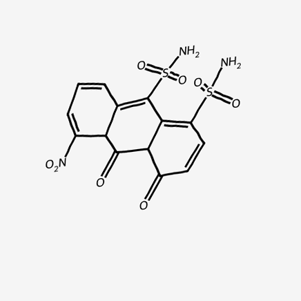 NS(=O)(=O)C1=C2C(S(N)(=O)=O)=C3C=CC=C([N+](=O)[O-])C3C(=O)C2C(=O)C=C1